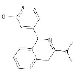 CN(C)C1=NC(c2ccnc(Cl)c2)c2ccccc2C1